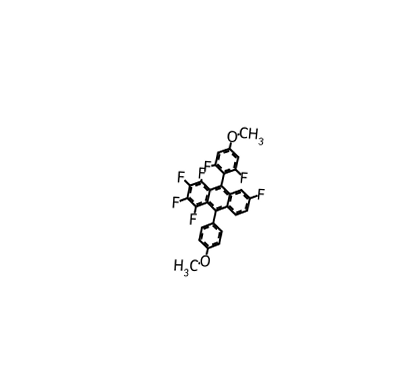 COc1ccc(-c2c3ccc(F)cc3c(-c3c(F)cc(OC)cc3F)c3c(F)c(F)c(F)c(F)c23)cc1